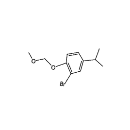 COCOc1ccc(C(C)C)cc1Br